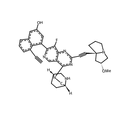 C#Cc1cccc2cc(O)cc(-c3ncc4c(N5C[C@H]6CC[C@@H]5CN6)nc(C#C[C@@]56CCCN5C[C@H](OC)C6)nc4c3F)c12